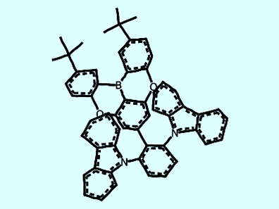 CC(C)(C)c1ccc2c(c1)B1c3cc(C(C)(C)C)ccc3Oc3cc(-c4c(-n5c6ccccc6c6ccccc65)cccc4-n4c5ccccc5c5ccccc54)cc(c31)O2